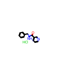 Cl.NN(Cc1ccccc1)C(=O)c1cccnc1